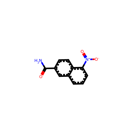 NC(=O)c1ccc2c([N+](=O)[O-])cccc2c1